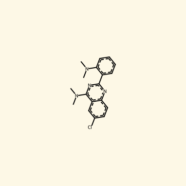 CN(C)c1ccccc1-c1nc(N(C)C)c2cc(Cl)ccc2n1